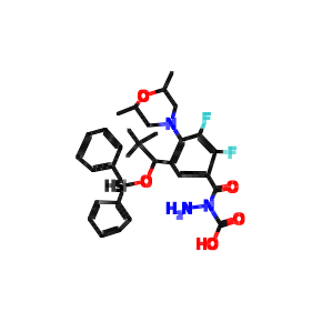 CC1CN(c2c(C(O[SiH](c3ccccc3)c3ccccc3)C(C)(C)C)cc(C(=O)N(N)C(=O)O)c(F)c2F)CC(C)O1